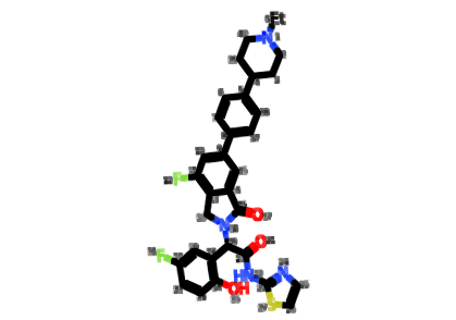 CCN1CCC(c2ccc(-c3cc(F)c4c(c3)C(=O)N([C@@H](C(=O)Nc3nccs3)c3cc(F)ccc3O)C4)cc2)CC1